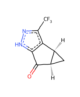 O=C1c2[nH]nc(C(F)(F)F)c2[C@H]2C[C@@H]12